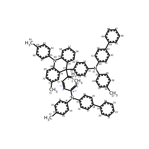 C=C(/C=C\C(=C/C)N(c1ccc(C)cc1)c1ccc(-c2ccccc2)cc1)C1(c2ccc(N(c3ccc(C)cc3)c3ccc(-c4ccccc4)cc3)cc2)c2ccccc2N(c2ccc(C)cc2)c2ccc(C)cc21